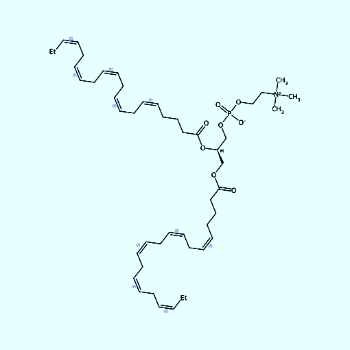 CC/C=C\C/C=C\C/C=C\C/C=C\C/C=C\CCCC(=O)OC[C@H](COP(=O)([O-])OCC[N+](C)(C)C)OC(=O)CCC/C=C\C/C=C\C/C=C\C/C=C\C/C=C\CC